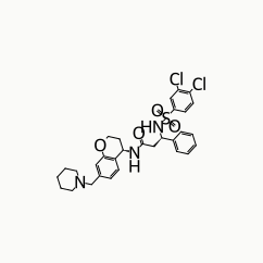 O=C(C[C@@H](NS(=O)(=O)c1ccc(Cl)c(Cl)c1)c1ccccc1)N[C@@H]1CCOc2cc(CN3CCCCC3)ccc21